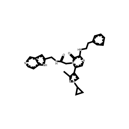 Cc1nn(C2CC2)cc1-c1cnc(NCCc2ccccc2)c(=O)n1CC(=O)NCc1cc2cnccc2[nH]1